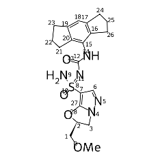 COC[C@@H]1Cn2ncc([S@@](N)(=O)=NC(=O)Nc3c4c(cc5c3CCC5)CCC4)c2O1